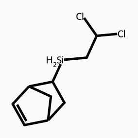 ClC(Cl)C[SiH2]C1CC2C=CC1C2